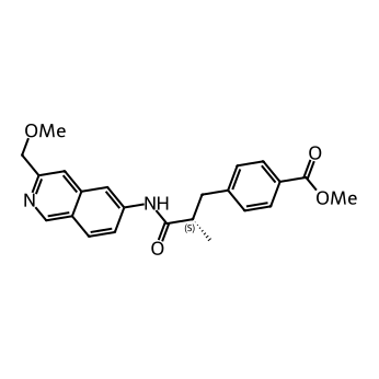 COCc1cc2cc(NC(=O)[C@@H](C)Cc3ccc(C(=O)OC)cc3)ccc2cn1